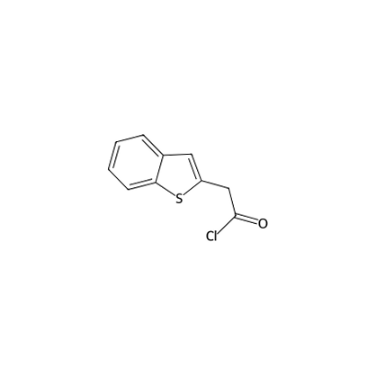 O=C(Cl)Cc1cc2ccccc2s1